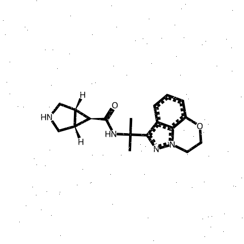 CC(C)(NC(=O)[C@H]1[C@@H]2CNC[C@@H]21)c1nn2c3c(cccc13)OCC2